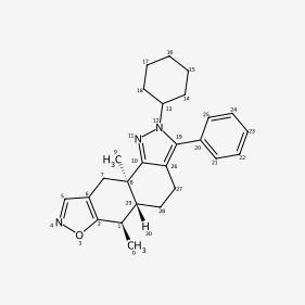 C[C@H]1c2oncc2C[C@@]2(C)c3nn(C4CCCCC4)c(-c4ccccc4)c3CC[C@H]12